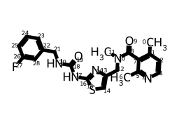 Cc1ccnc(C)c1C(=O)N(C)Cc1csc(NC(=O)NCc2cccc(F)c2)n1